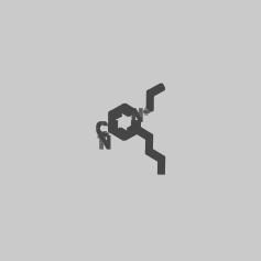 CCCCc1cccc[n+]1CCC.[C-]#N